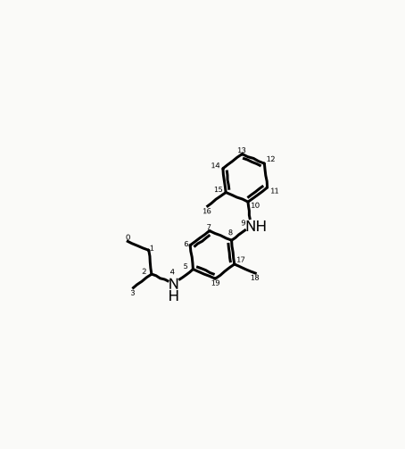 CCC(C)Nc1ccc(Nc2ccccc2C)c(C)c1